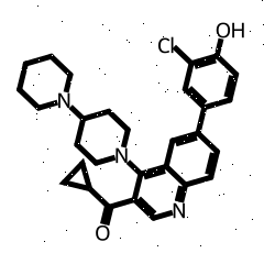 O=C(c1cnc2ccc(-c3ccc(O)c(Cl)c3)cc2c1N1CCC(N2CCCCC2)CC1)C1CC1